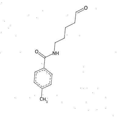 Cc1ccc(C(=O)NCCCCC=O)cc1